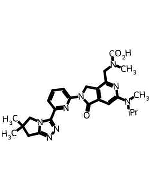 CC(C)N(C)c1cc2c(c(CN(C)C(=O)O)n1)CN(c1cccc(-c3nnc4n3CC(C)(C)C4)n1)C2=O